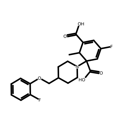 CC1C(C(=O)O)=CC(F)=CC1(C(=O)O)N1CCC(COc2ccccc2F)CC1